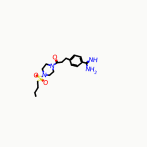 CCCCS(=O)(=O)N1CCN(C(=O)CCc2ccc(C(=N)N)cc2)CC1